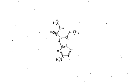 CCOC(Cc1cccc(N)c1)C(=O)OC